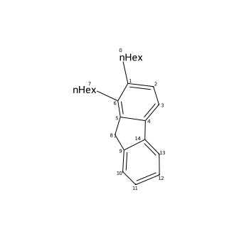 CCCCCCc1ccc2c(c1CCCCCC)[CH]c1ccccc1-2